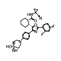 N#CC1(NC(=O)[C@@H]2CCCC[C@H]2c2oc(-c3ccc(F)cc3F)nc2-c2ccc(N3CC[SH](=N)(O)CC3)cc2)CC1